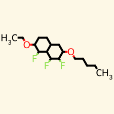 CCCCCOC1CC2CCC(OCC)C(F)C2C(F)C1F